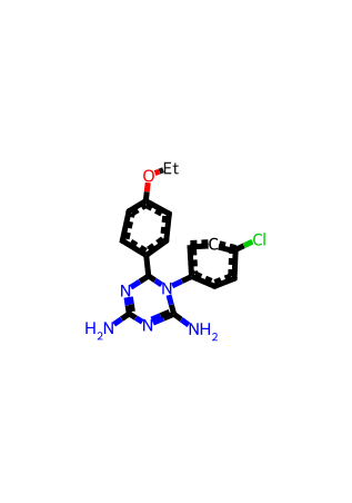 CCOc1ccc(C2N=C(N)N=C(N)N2c2ccc(Cl)cc2)cc1